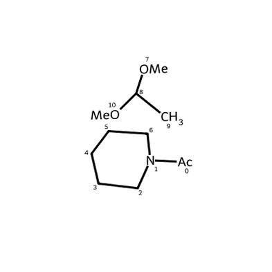 CC(=O)N1CCCCC1.COC(C)OC